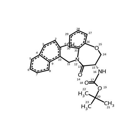 Cc1ccc2ccccc2c1CN1C(=O)[C@@H](NC(=O)OC(C)(C)C)COc2ccccc21